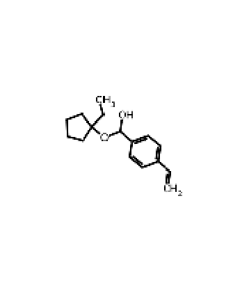 C=Cc1ccc(C(O)OC2(CC)CCCC2)cc1